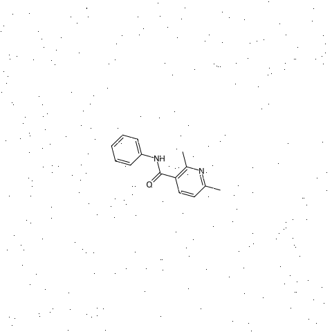 Cc1ccc(C(=O)Nc2ccccc2)c(C)n1